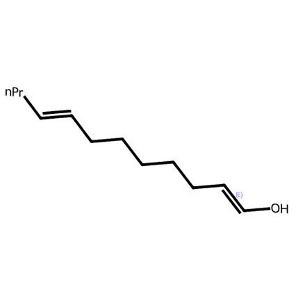 CCCC=CCCCCC/C=C/O